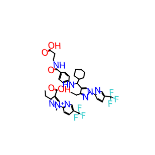 CCC1=N[N+](C)(c2ccc(C(F)(F)F)cn2)C=C1C(=O)O.CCc1nn(-c2ccc(C(F)(F)F)cn2)cc1C(Nc1ccc(C(=O)NCCC(=O)O)cc1)C1CCCCC1